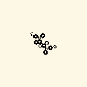 C[Si](C)(C)c1ccc(N(c2ccccc2)c2cc3c(oc4cc(N(c5ccccc5)c5ccc([Si](C)(C)C)cc5)c5ccccc5c43)c3ccccc23)cc1